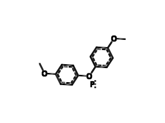 COc1ccc(Oc2ccc(OC)cc2)cc1.[P]